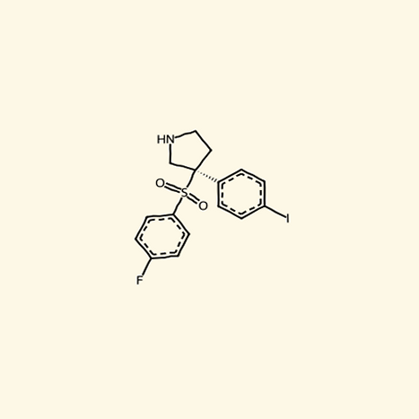 O=S(=O)(c1ccc(F)cc1)[C@]1(c2ccc(I)cc2)CCNC1